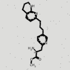 COC(=O)[C@@H](N)Cc1ccc(CCCc2ccc3c(n2)NCCC3)cn1